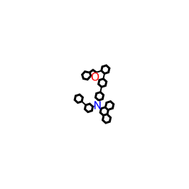 c1ccc(-c2cccc(N(c3ccc(-c4ccc(-c5ccccc5-c5cc6ccccc6o5)cc4)cc3)c3cc4ccccc4c4ccccc34)c2)cc1